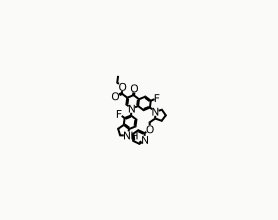 CCOC(=O)c1cn(-c2ccc3c(c2F)CCN3)c2cc(N3CCCC3COc3ccccn3)c(F)cc2c1=O